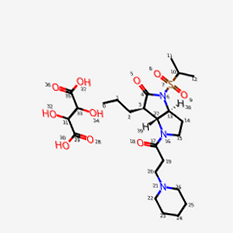 CCC[C@H]1C(=O)N(S(=O)(=O)C(C)C)[C@H]2CCN(C(=O)CCN3CCCCC3)[C@H]12.O=C(O)C(O)C(O)C(=O)O